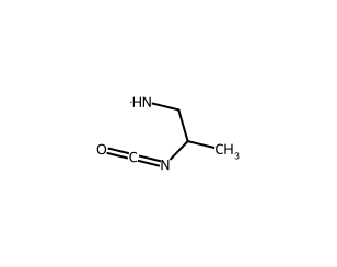 CC(C[NH])N=C=O